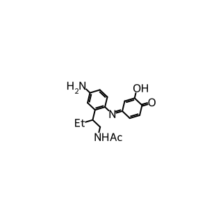 CCC(CNC(C)=O)c1cc(N)ccc1N=C1C=CC(=O)C(O)=C1